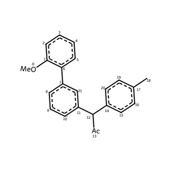 COc1ccccc1-c1cc[c]c(C(C(C)=O)c2ccc(C)cc2)c1